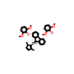 CC1=[C]([Zr+2][CH]2c3ccccc3-c3ccccc32)C(C)C=C1.COc1cccc(OC)c1[O-].COc1cccc(OC)c1[O-]